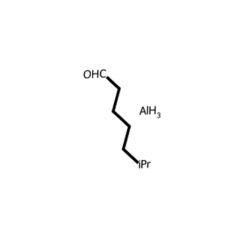 CC(C)CCCCC=O.[AlH3]